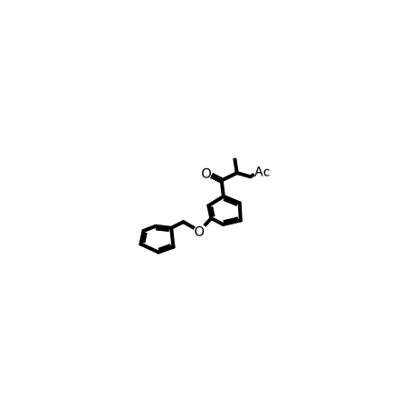 CC(=O)CC(C)C(=O)c1cccc(OCc2ccccc2)c1